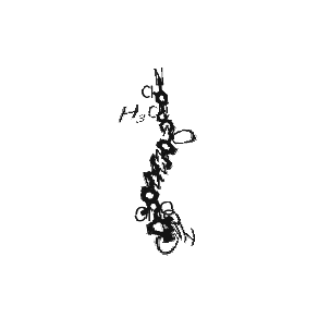 CC1CC2(CCN(C(=O)c3ccc(N4CCN(C5CN(c6ccc7c(c6)C(=O)N(C6CCC(=O)NC6=O)C7=O)C5)CC4)cc3)CC2)CN1c1ccc(C#N)c(Cl)c1